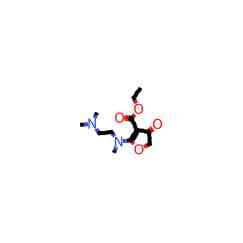 CCOC(=O)C1=C(N(C)CCN(C)C)OCC1=O